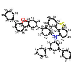 c1ccc(-c2cc(-c3ccccc3)cc(N(c3ccc(-c4ccc5oc6c(-c7ccccc7)cccc6c5c4)cc3)c3cccc4sc5ccccc5c34)c2)cc1